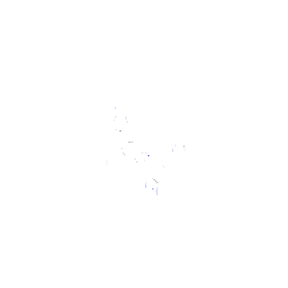 O=C(Nc1nccs1)C(c1ncn2c1C[C@@H](F)C2)n1cc2c(C(F)(F)F)cc(-c3ccc(N4CCOCC4)cc3)c(C(F)F)c2n1